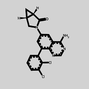 Nc1ncnc2c(-c3cccc(Cl)c3Cl)cc(N3C[C@@H]4C[C@@H]4C3=O)cc12